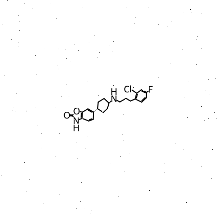 O=c1[nH]c2ccc([C@H]3CC[C@H](NCCCc4ccc(F)cc4Cl)CC3)cc2o1